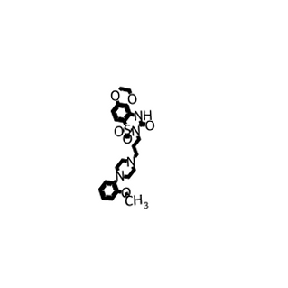 COc1ccccc1N1CCN(CCCN2C(=O)Nc3c(ccc4c3OCCO4)S2(=O)=O)CC1